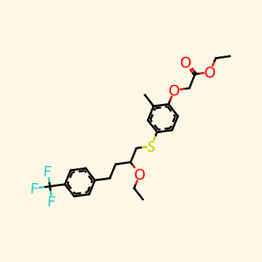 CCOC(=O)COc1ccc(SCC(CCc2ccc(C(F)(F)F)cc2)OCC)cc1C